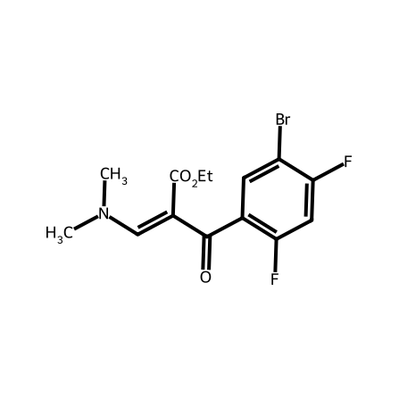 CCOC(=O)/C(=C\N(C)C)C(=O)c1cc(Br)c(F)cc1F